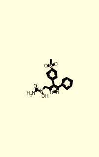 CS(=O)(=O)c1ccc(-c2c(-c3ccccc3)noc2CN(O)C(N)=O)cc1